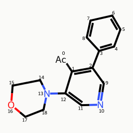 CC(=O)c1c(-c2ccccc2)[c]ncc1N1CCOCC1